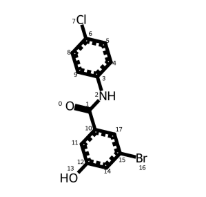 O=C(Nc1ccc(Cl)cc1)c1cc(O)cc(Br)c1